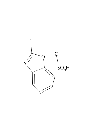 Cc1nc2ccccc2o1.O=S(=O)(O)Cl